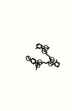 CCOB(OCCCCOB(OCCCCOB(OCC)c1cccc(C)c1)c1ccccc1C)c1ccc(OC)cc1